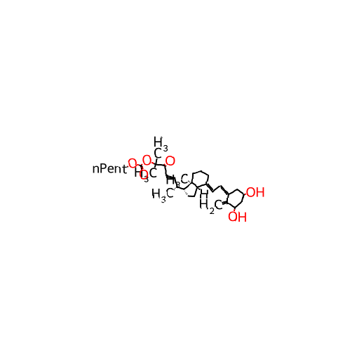 C=C1/C(=C\C=C2/CCC[C@]3(C)[C@@H]([C@H](C)/C=C/C(=O)C(C)(C)OC(=O)OCCCCC)CC[C@@H]23)CC(O)CC1O